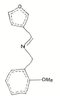 COc1ccccc1CN=Cc1ccoc1